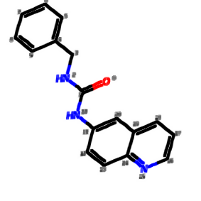 O=C(NCc1ccccc1)Nc1ccc2ncccc2c1